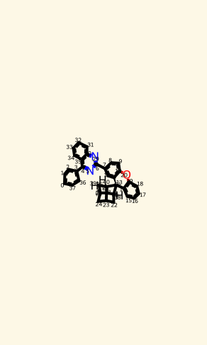 c1ccc(-c2nc(-c3ccc4c(c3)[C@@]3(c5ccccc5O4)[C@@H]4CC5C[C@@H]6C[C@H]3C564)nc3ccccc23)cc1